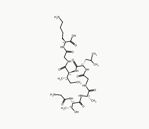 CC[C@H](C)[C@H](NC(=O)[C@H](CC(C)C)NC(=O)CNC(=O)[C@H](C)NC(=O)[C@@H](NC(=O)CN)[C@@H](C)O)C(=O)NCC(=O)N[C@@H](CCCCN)C(=O)O